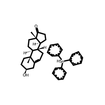 C[C@]12CC[C@H](O)CC1=CC[C@@H]1[C@@H]2CC[C@]2(C)C(=O)CC[C@@H]12.c1cc[c]([SnH]([c]2ccccc2)[c]2ccccc2)cc1